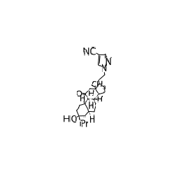 CC(C)[C@@]1(O)CC[C@H]2[C@H](CC[C@@H]3[C@@H]2C(=O)C[C@]2(C)[C@@H](CCn4cc(C#N)cn4)CC[C@@H]32)C1